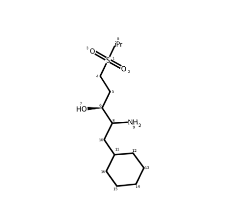 CC(C)S(=O)(=O)CC[C@H](O)C(N)CC1CCCCC1